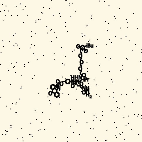 CCC(C)C1CC(=O)N(CCOCCOCCOCCC(=O)NC(C(=O)N[C@@H](CCCNC(N)=O)C(=O)Nc2ccc(COC(=O)n3nc4c5c(cccc53)C(=O)c3ccccc3-4)cc2)C(C)C)C1=O